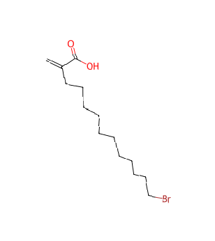 C=C(CCCCCCCCCCCBr)C(=O)O